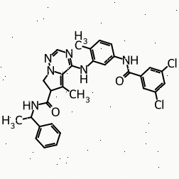 CC1=C2C(Nc3cc(NC(=O)c4cc(Cl)cc(Cl)c4)ccc3C)=NC=NN2CC1C(=O)NC(C)c1ccccc1